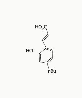 CCCCc1ccc(C=CC(=O)O)cc1.Cl